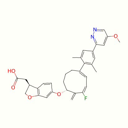 C=C1/C(F)=C\C=C(\c2c(C)cc(-c3cc(OC)cnn3)cc2C)CCC[C@H]1Oc1ccc2c(c1)OC[C@H]2CC(=O)O